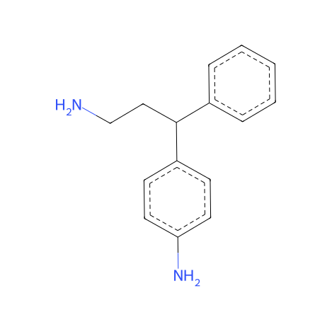 NCCC(c1ccccc1)c1ccc(N)cc1